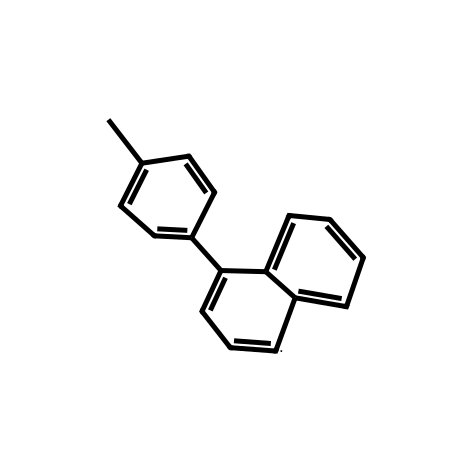 Cc1ccc(-c2cc[c]c3ccccc23)cc1